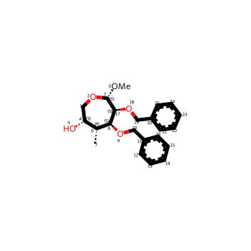 CO[C@H]1OC[C@@H](O)[C@@H](C)[C@H](OCc2ccccc2)[C@@H]1OCc1ccccc1